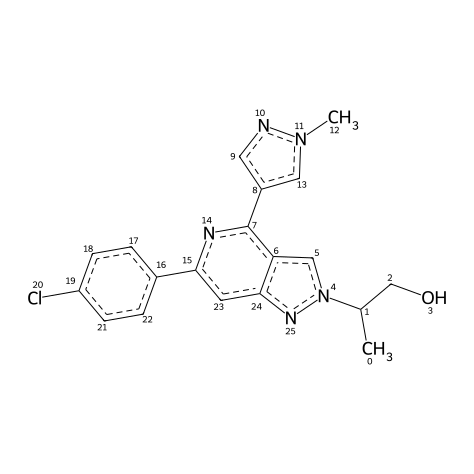 CC(CO)n1cc2c(-c3cnn(C)c3)nc(-c3ccc(Cl)cc3)cc2n1